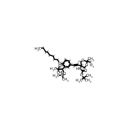 CCCCCCCCOc1ccc(C#CC2(NC(=O)OC(C)(C)C)COC(C)(C)OC2)cc1C(O[SiH](C)C)C(C)(C)C